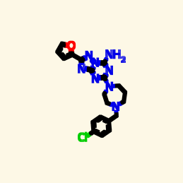 Nc1nc(N2CCCN(Cc3ccc(Cl)cc3)CC2)nc2nc(-c3ccco3)nn12